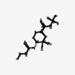 CCOC(=O)C[C@@H]1CCN(C(=O)OC(C)(C)C)CC1(F)F